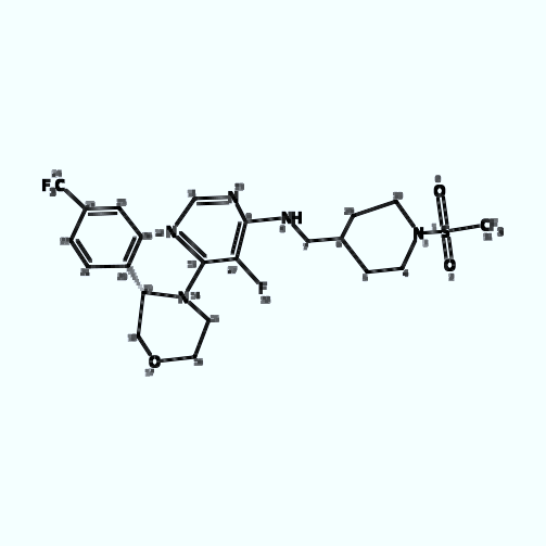 O=S(=O)(N1CCC(CNc2ncnc(N3CCOC[C@@H]3c3ccc(C(F)(F)F)cc3)c2F)CC1)C(F)(F)F